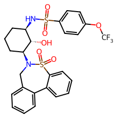 O=S(=O)(N[C@@H]1CCC[C@H](N2Cc3ccccc3-c3ccccc3S2(=O)=O)[C@H]1O)c1ccc(OC(F)(F)F)cc1